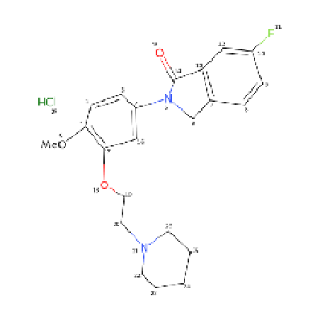 COc1ccc(N2Cc3ccc(F)cc3C2=O)cc1OCCN1CCCCC1.Cl